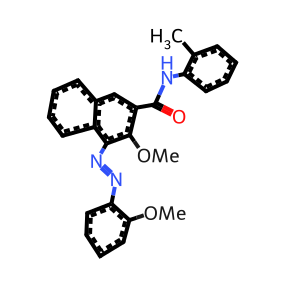 COc1ccccc1N=Nc1c(OC)c(C(=O)Nc2ccccc2C)cc2ccccc12